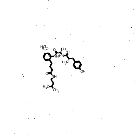 CC(C)CCNC(=O)CCCc1ccccc1NC(=O)[C@@H](C)NC(=O)[C@@H](N)Cc1ccc(O)cc1.Cl.O